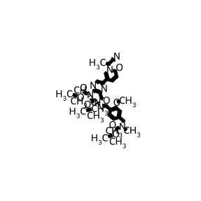 COc1cc(CN(C)C(=O)OC(C)(C)C)ccc1-c1nnc(-c2nc(-c3ccc(=O)n(C(C)C#N)c3)cnc2N(C(=O)OC(C)(C)C)C(=O)OC(C)(C)C)o1